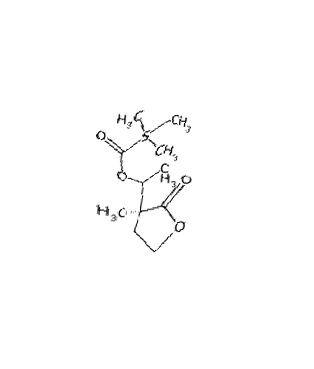 CC(OC(=O)S(C)(C)C)[C@]1(C)CCOC1=O